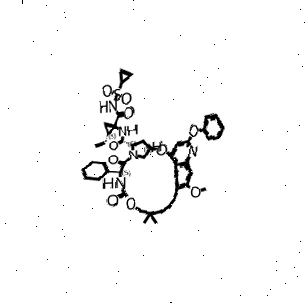 C=C[C@@H]1CC1(NC(=O)[C@@H]1C[C@@H]2CN1C(=O)[C@H](C1CCCCC1)NC(=O)OCC(C)(C)CCCc1cc3c(cc(Oc4ccccc4)nc3cc1OC)O2)C(=O)NS(=O)(=O)C1CC1